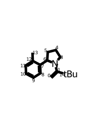 C=C(N1CCCC1c1ccccc1C)C(C)(C)C